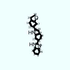 c1ccc2[nH]c(-c3ccc4cc(-c5ccc6c(c5)OCC6)[nH]c4c3)nc2c1